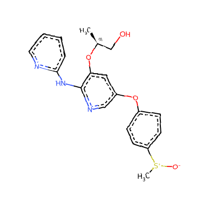 C[C@@H](CO)Oc1cc(Oc2ccc([S+](C)[O-])cc2)cnc1Nc1ccccn1